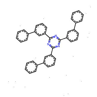 c1ccc(-c2cccc(-c3nc(-c4cccc(-c5ccccc5)c4)nc(-c4cccc(-c5ccccc5)c4)n3)c2)cc1